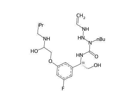 C=CNNN(CCCC)C(=O)N[C@H](CO)c1cc(F)cc(OCC(O)NCC(C)C)c1